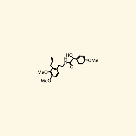 C=CCc1c(CCNC(=O)C(O)c2ccc(OC)cc2)ccc(OC)c1OC